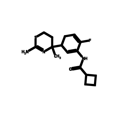 CC1(C2C=C(NC(=O)C3CCC3)C(F)=CC2)CCSC(N)=N1